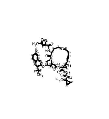 Cc1cc(C(=O)N[C@H]2CCCCCC=C[C@@H]3C[C@@]3(C(=O)NS(=O)(=O)C3(C)CC3)NC(=O)[C@@H]3C[C@@H](Oc4nc5cc(F)ccc5nc4C(C)(F)F)CN3C2=O)no1